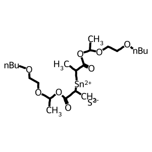 CCCCOCCOC(C)OC(=O)[CH](C)[Sn+2][CH](C)C(=O)OC(C)OCCOCCCC.[S-2]